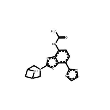 CC(=O)Nc1ccc(-c2nccs2)c2oc(N3CC4CC(C3)N4)nc12